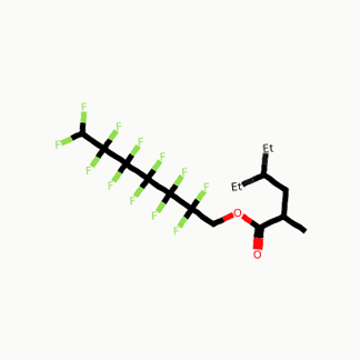 CCC(CC)CC(C)C(=O)OCC(F)(F)C(F)(F)C(F)(F)C(F)(F)C(F)(F)C(F)F